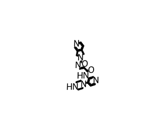 O=C(Nc1cnccc1N1CCNCC1)c1cnc(N2Cc3ccncc3C2)o1